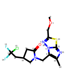 COCc1nn2c(CN3CC(CC(F)(F)Cl)CC3=O)c(C)nc2s1